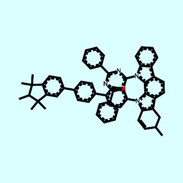 CC1C=Cc2c(c3ccc4c5ccccc5n(-c5nc(-c6ccccc6)nc(-c6ccccc6)n5)c4c3n2-c2ccc(-c3ccc(-c4ccc5c(c4)C(C)(C)C(C)C5(C)C)cc3)cc2)C1